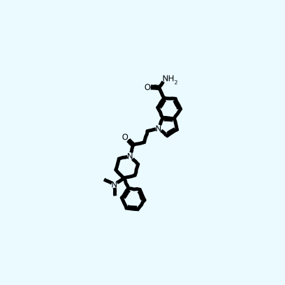 CN(C)C1(c2ccccc2)CCN(C(=O)CCn2ccc3ccc(C(N)=O)cc32)CC1